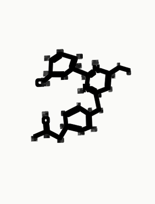 CCc1cc(Cc2ccc(CC(C)=O)cc2)nc(-c2cccc(Cl)c2)n1